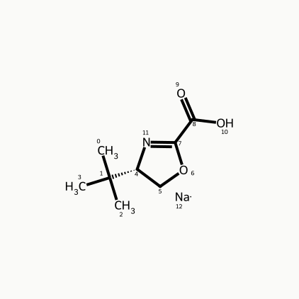 CC(C)(C)[C@H]1COC(C(=O)O)=N1.[Na]